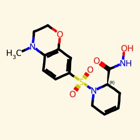 CN1CCOc2cc(S(=O)(=O)N3CC=CC[C@@H]3C(=O)NO)ccc21